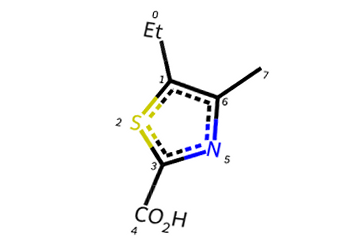 CCc1sc(C(=O)O)nc1C